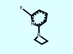 Fc1cccc(N2CCC2)n1